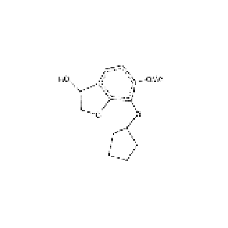 COc1ccc2c(c1OC1CCCC1)OCC2O